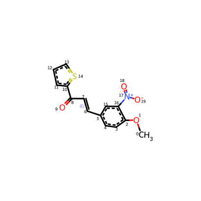 COc1ccc(/C=C/C(=O)c2cccs2)cc1[N+](=O)[O-]